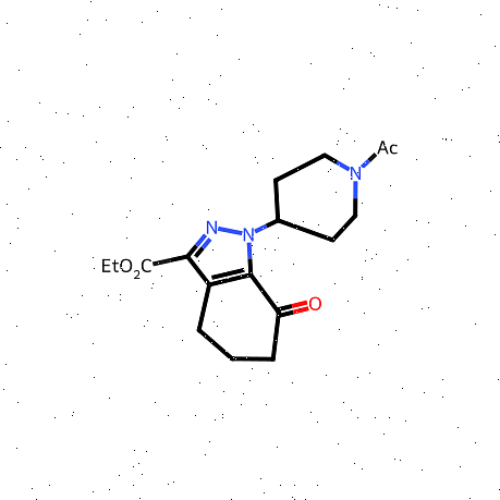 CCOC(=O)c1nn(C2CCN(C(C)=O)CC2)c2c1CCCC2=O